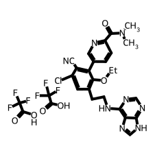 CCOc1c(CCNc2ncnc3[nH]cnc23)cc(Cl)c(C#N)c1-c1ccc(C(=O)N(C)C)nc1.O=C(O)C(F)(F)F.O=C(O)C(F)(F)F